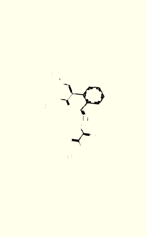 CO/C=C(\C(=O)OC)c1ccccc1/C=N/OC(=O)C(=S)OC